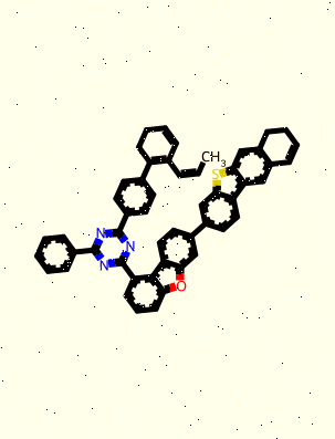 C/C=C\C1=C(c2ccc(-c3nc(-c4ccccc4)nc(-c4cccc5oc6cc(-c7ccc8c(c7)sc7cc9c(cc78)C=CCC9)ccc6c45)n3)cc2)CCC=C1